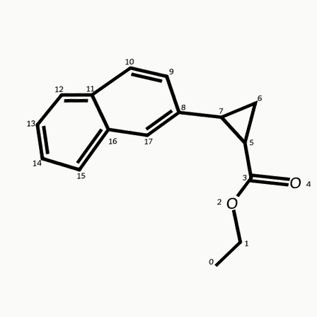 CCOC(=O)C1CC1c1ccc2ccccc2c1